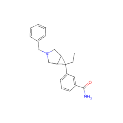 CCC1(c2cccc(C(N)=O)c2)C2CN(Cc3ccccc3)CC21